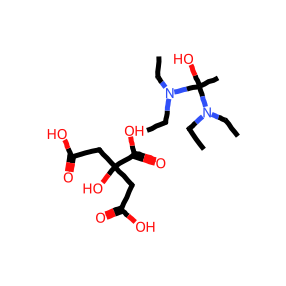 CCN(CC)C(C)(O)N(CC)CC.O=C(O)CC(O)(CC(=O)O)C(=O)O